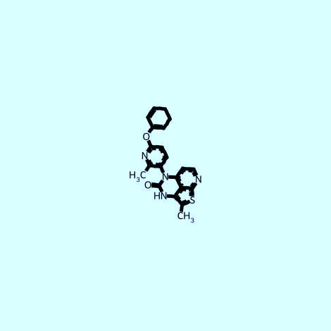 Cc1nc(OC2=CCCC=C2)ccc1N1C(=O)Nc2c(C)sc3nccc1c23